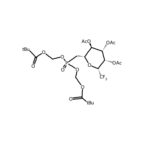 CC(=O)O[C@@H]1[C@H](OC(C)=O)[C@H](C(F)(F)F)O[C@H](CP(=O)(OCOC(=O)C(C)(C)C)OCOC(=O)C(C)(C)C)[C@H]1OC(C)=O